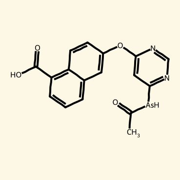 CC(=O)[AsH]c1cc(Oc2ccc3c(C(=O)O)cccc3c2)ncn1